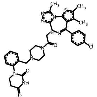 Cc1sc2c(c1C)C(c1ccc(Cl)cc1)=N[C@@H](CC(=O)N1CCN(Cc3ccccc3N3CCC(=O)NC3=O)CC1)c1nnc(C)n1-2